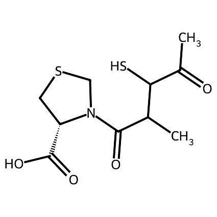 CC(=O)C(S)C(C)C(=O)N1CSC[C@H]1C(=O)O